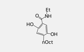 CCCCCCCCc1cc(O)c(C(=O)NCC)cc1O